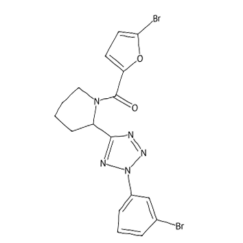 O=C(c1ccc(Br)o1)N1CCCCC1c1nnn(-c2cccc(Br)c2)n1